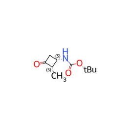 C[C@@H]1C(=O)C[C@@H]1NC(=O)OC(C)(C)C